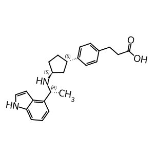 C[C@@H](N[C@H]1CC[C@H](c2ccc(CCC(=O)O)cc2)C1)c1cccc2[nH]ccc12